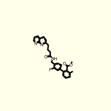 COC(=O)c1c(C)cccc1-c1ccc(CNC(=O)CCCc2ccc3cccnc3n2)c(F)c1